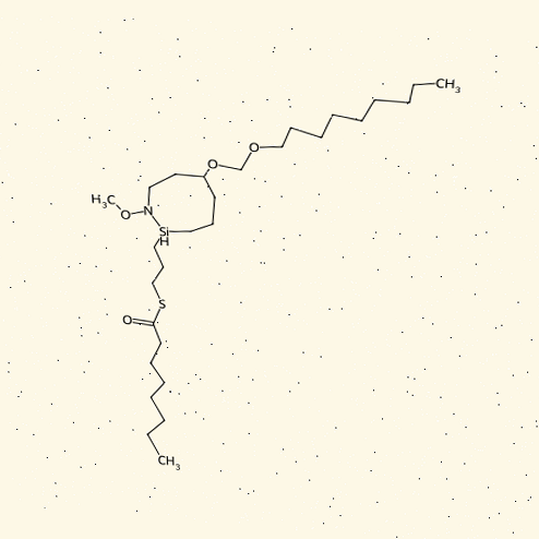 CCCCCCCCCOCOC1CCC[SiH](CCCSC(=O)CCCCCCC)N(OC)CC1